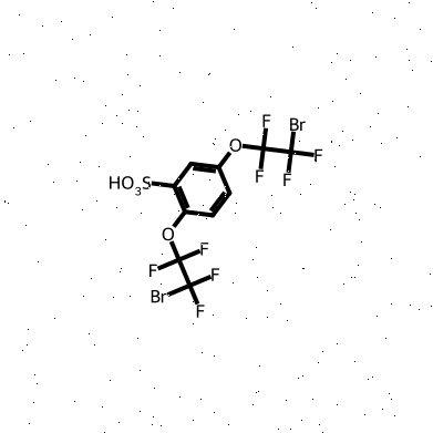 O=S(=O)(O)c1cc(OC(F)(F)C(F)(F)Br)ccc1OC(F)(F)C(F)(F)Br